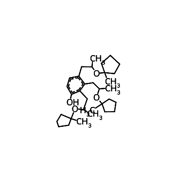 CC(Cc1ccc(O)c(CC(C)OC2(C)CCCC2)c1CC(C)OC1(C)CCCC1)OC1(C)CCCC1